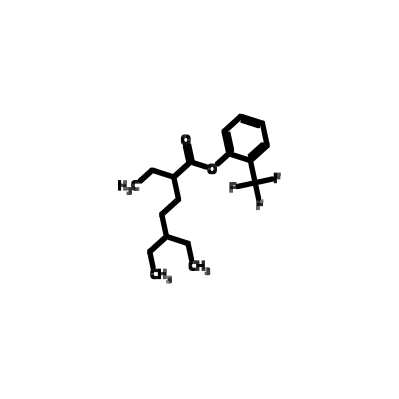 CCC(CC)CCC(CC)C(=O)Oc1ccccc1C(F)(F)F